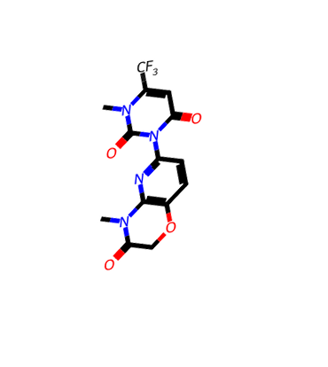 CN1C(=O)COc2ccc(-n3c(=O)cc(C(F)(F)F)n(C)c3=O)nc21